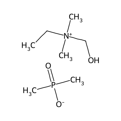 CC[N+](C)(C)CO.CP(C)(=O)[O-]